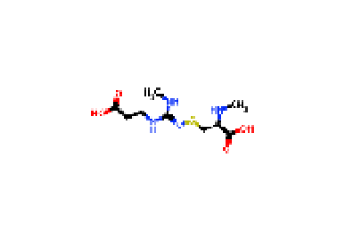 CN/C(=N\SC[C@@H](NC)C(=O)O)NCCC(=O)O